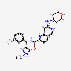 Cc1cccc([C@H](NC(=O)c2ccc3cnc(NC4CCOCC4)cc3n2)c2cnn(C)c2)c1